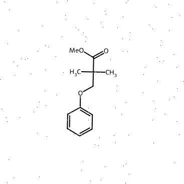 COC(=O)C(C)(C)COc1ccccc1